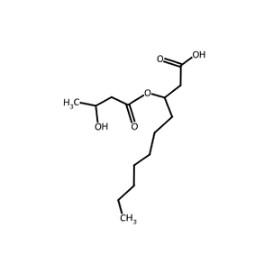 CCCCCCCC(CC(=O)O)OC(=O)CC(C)O